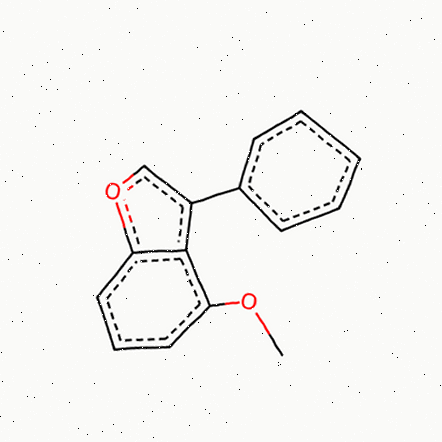 COc1cccc2occ(-c3ccccc3)c12